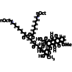 CCCCCCCC/C=C/CCCCCCCC(=O)OCC(COC(=O)CCC(=O)N[C@H]1C[C@H](O[C@H]2C[C@](O)(C(=O)CO)Cc3c(O)c4c(c(O)c32)C(=O)c2c(OC)cccc2C4=O)O[C@@H](C)[C@H]1O)OC(=O)CCCCCCC/C=C/CCCCCCCC